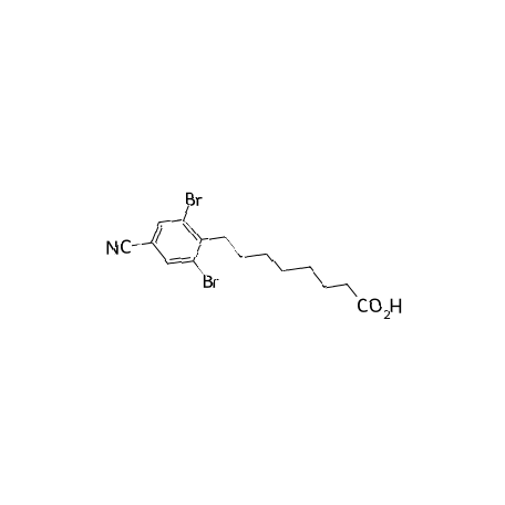 N#Cc1cc(Br)c(CCCCCCCC(=O)O)c(Br)c1